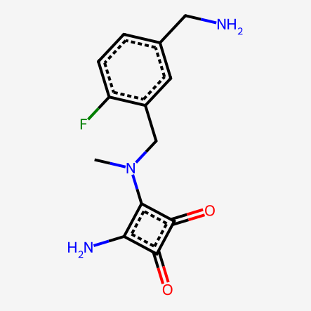 CN(Cc1cc(CN)ccc1F)c1c(N)c(=O)c1=O